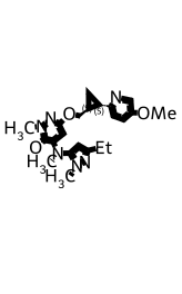 CCc1cc(N(C)c2cc(OC[C@H]3C[C@@H]3c3ccc(OC)cn3)nn(C)c2=O)n(C)n1